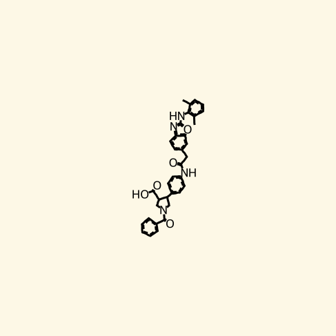 Cc1cccc(C)c1Nc1nc2ccc(CC(=O)Nc3ccc(C4CN(C(=O)c5ccccc5)CC4C(=O)O)cc3)cc2o1